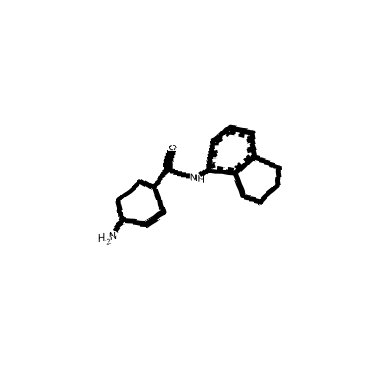 NC1CCC(C(=O)Nc2cccc3c2CCCC3)CC1